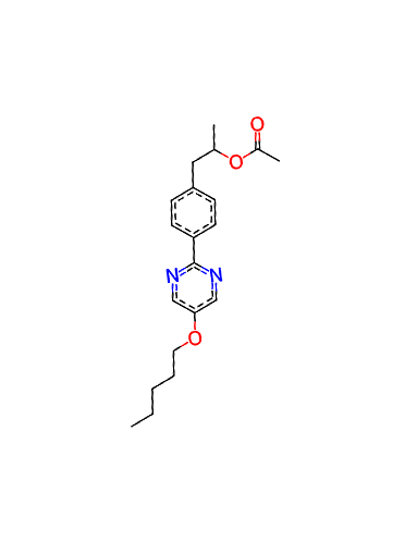 CCCCCOc1cnc(-c2ccc(CC(C)OC(C)=O)cc2)nc1